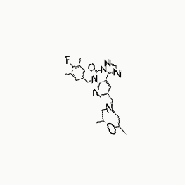 Cc1cc(Cn2c(=O)n3ncnc3c3cc(CN4CC(C)OC(C)C4)cnc32)cc(C)c1F